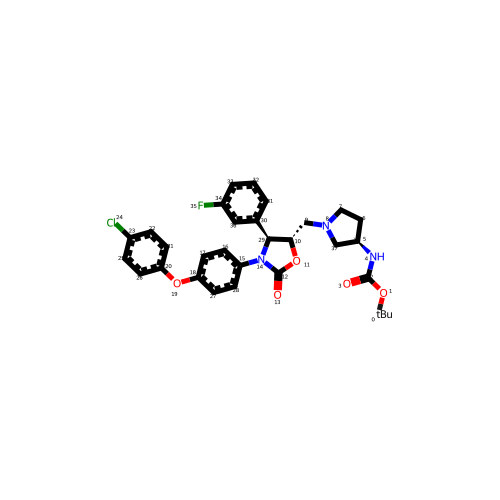 CC(C)(C)OC(=O)N[C@@H]1CCN(C[C@@H]2OC(=O)N(c3ccc(Oc4ccc(Cl)cc4)cc3)[C@H]2c2cccc(F)c2)C1